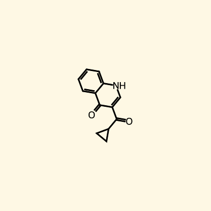 O=C(c1c[nH]c2ccccc2c1=O)C1CC1